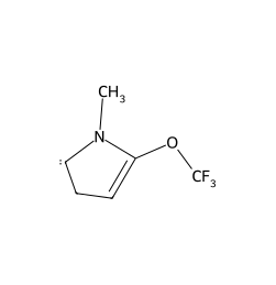 CN1[C]CC=C1OC(F)(F)F